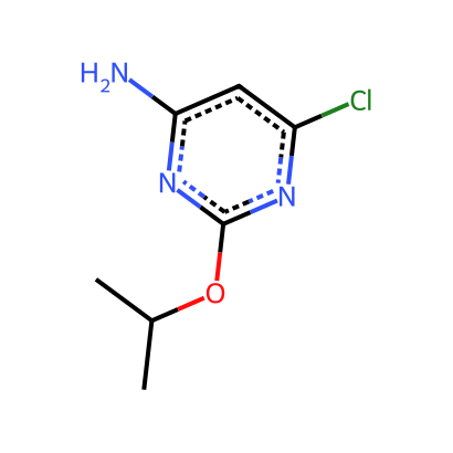 CC(C)Oc1nc(N)cc(Cl)n1